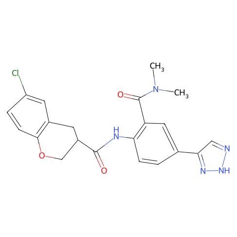 CN(C)C(=O)c1cc(-c2cn[nH]n2)ccc1NC(=O)C1COc2ccc(Cl)cc2C1